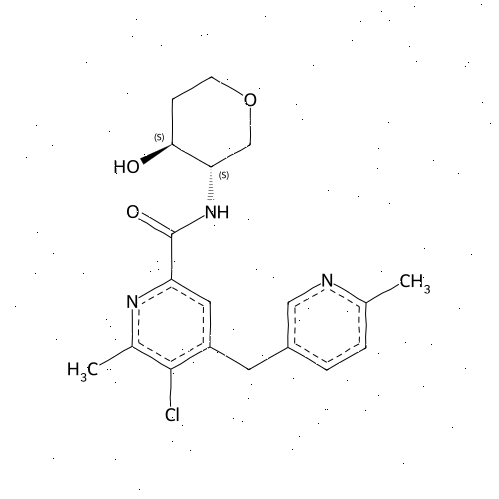 Cc1ccc(Cc2cc(C(=O)N[C@H]3COCC[C@@H]3O)nc(C)c2Cl)cn1